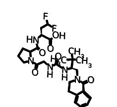 CC(C)(C)[C@@H](CN1CCc2ccccc2C1=O)NC(=O)NCC(=O)N1CCCC1C(=O)N[C@@H](CC(F)F)C(=O)O